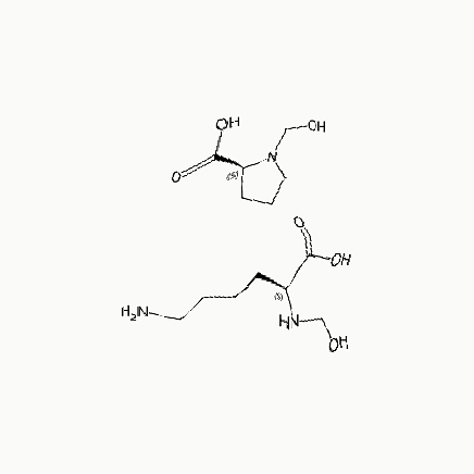 NCCCC[C@H](NCO)C(=O)O.O=C(O)[C@@H]1CCCN1CO